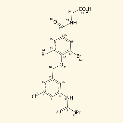 CC(C)C(=O)Nc1cc(Cl)cc(COc2c(Br)cc(C(=O)NCC(=O)O)cc2Br)c1